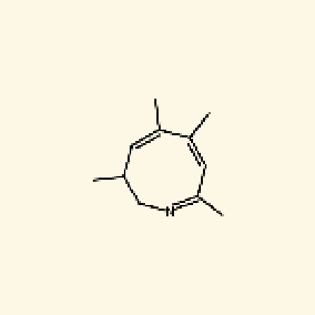 CC1=C/C(C)=N\CC(C)/C=C\1C